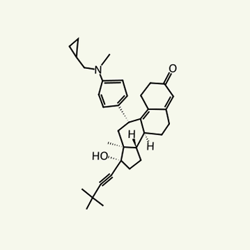 CN(CC1CC1)c1ccc([C@H]2C[C@@]3(C)[C@@H](CC[C@@]3(O)C#CC(C)(C)C)[C@@H]3CCC4=CC(=O)CCC4=C32)cc1